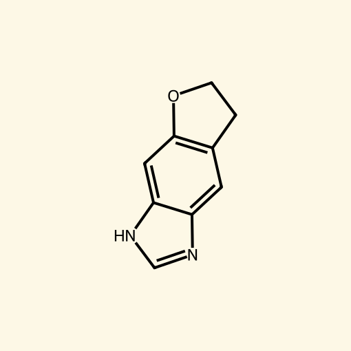 c1nc2cc3c(cc2[nH]1)OCC3